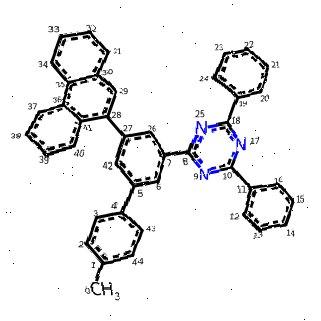 Cc1ccc(-c2cc(-c3nc(-c4ccccc4)nc(-c4ccccc4)n3)cc(-c3cc4ccccc4c4ccccc34)c2)cc1